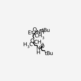 CCC(C)(CCOC(C)(C)CCNC(=O)CCC(C)(C)C)C(=O)NCC(C)(C)C